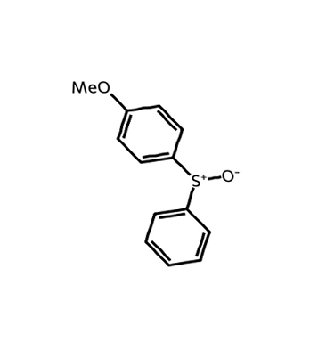 COc1ccc([S+]([O-])c2ccccc2)cc1